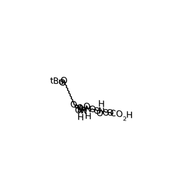 CC(C)(C)OC(=O)CCCCCCCCCCCCCCCOc1ccc(S(=O)(=O)Nc2ncc(C(=O)NCCOCCOCC(=O)NCCOCCOCC(=O)O)cn2)cc1